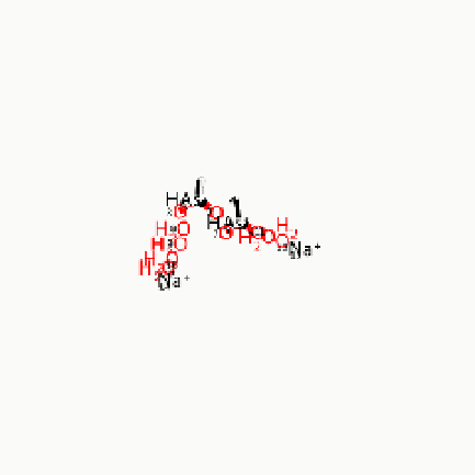 C[AsH](=O)[O-].C[AsH](=O)[O-].O.O.O.O.O.O.[Na+].[Na+]